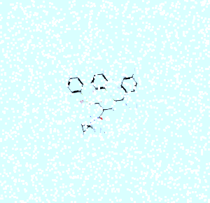 CC(C)(C)c1ccc([C@H](N)[C@@H](CC(CCS(=O)(=O)c2ccccc2)C(=O)NC2(C#N)CC2)S(=O)(=O)c2ccccc2)cc1